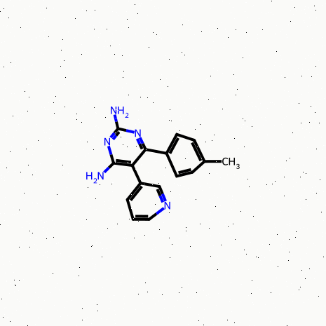 Cc1ccc(-c2nc(N)nc(N)c2-c2cccnc2)cc1